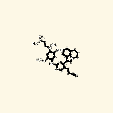 COc1cc(N(C)CCN(C)C)c(N)cc1Nc1ncc(C=CC#N)c(-c2cn3c4c(cccc24)CCC3)n1